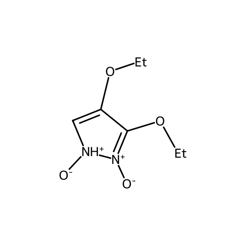 CCOC1=C[NH+]([O-])[N+]([O-])=C1OCC